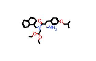 CCOC(CN(Cc1cccc2ccccc12)C(=O)[C@@H](CN)Cc1ccc(OCC(C)C)cc1)OCC